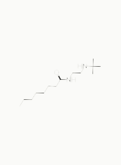 CCCCCCCC(=O)NCCNC(C)(C)C